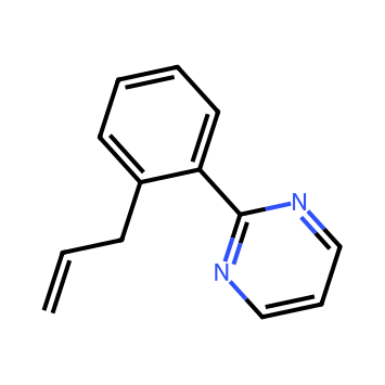 C=CCc1ccccc1-c1ncccn1